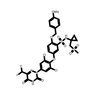 COc1ccc(COc2ccc(Oc3c(Cl)cc(-n4nc(C(F)F)c(=O)[nH]c4=O)cc3Cl)cc2S(=O)(=O)NC2(CS(C)(=O)=O)CC2)cc1